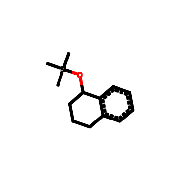 C[Si](C)(C)OC1CCCc2ccccc21